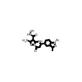 CCCNC(=O)c1c(N)nn2c(=O)cc(-c3ccc4c(c3)c(C)nn4C(C)=O)[nH]c12